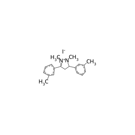 Cc1cccc(C2=[N+](C)N(C)C(c3cccc(C)c3)C2)c1.[I-]